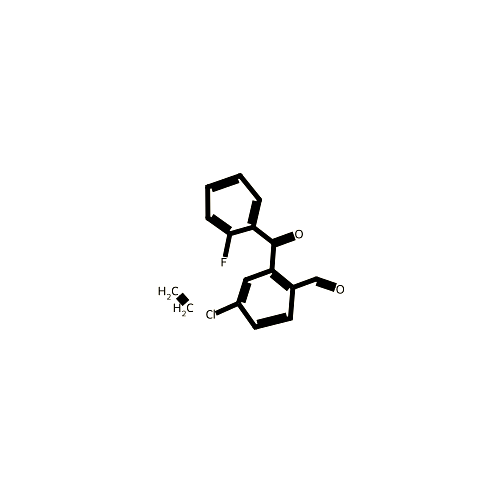 C=C.O=Cc1ccc(Cl)cc1C(=O)c1ccccc1F